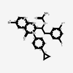 NC(=O)OC(Cc1cc(F)cc(F)c1)c1nc2ncc(Br)cc2c(=O)n1-c1ccc(C2CC2)cc1